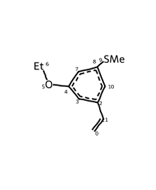 C=[C]c1cc(OCC)cc(SC)c1